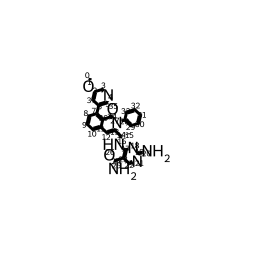 COc1cncc(-c2cccc3cc([C@H](C)Nc4nc(N)ncc4C(N)=O)n(-c4ccccc4)c(=O)c23)c1